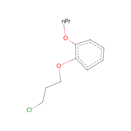 CCCOc1ccccc1OCCCCl